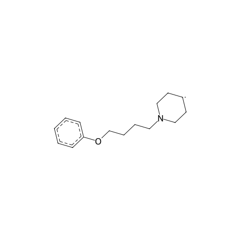 [CH]1CCN(CCCCOc2ccccc2)CC1